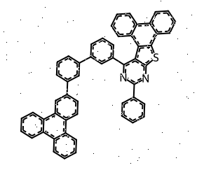 c1ccc(-c2nc(-c3cccc(-c4cccc(-c5ccc6c7ccccc7c7ccccc7c6c5)c4)c3)c3c(n2)sc2c4ccccc4c4ccccc4c23)cc1